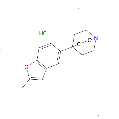 Cc1cc2cc(C34CCN(CC3)CC4)ccc2o1.Cl